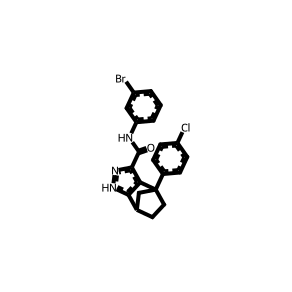 O=C(Nc1cccc(Br)c1)c1n[nH]c2c1C1(c3ccc(Cl)cc3)CCC2C1